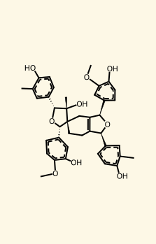 COc1ccc([C@@H]2O[C@H](c3ccc(O)c(C)c3)[C@](C)(O)[C@@]23CCC2=C(C3)[C@@H](c3ccc(O)c(OC)c3)O[C@H]2c2ccc(O)c(C)c2)cc1O